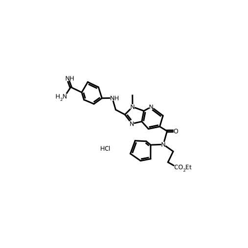 CCOC(=O)CCN(C(=O)c1cnc2c(c1)nc(CNc1ccc(C(=N)N)cc1)n2C)c1ccccc1.Cl